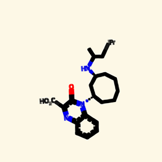 CC(C)CC(C)N[C@H]1CCCCC[C@H](n2c(=O)c(C(=O)O)nc3ccccc32)C1